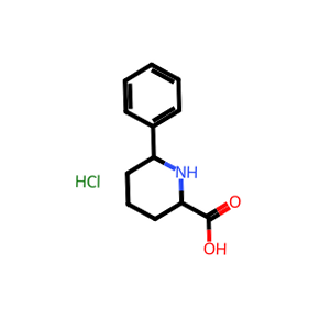 Cl.O=C(O)C1CCCC(c2ccccc2)N1